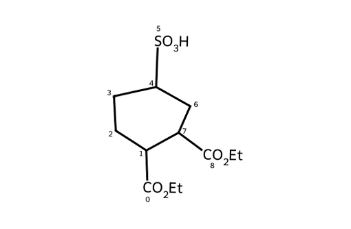 CCOC(=O)C1CCC(S(=O)(=O)O)CC1C(=O)OCC